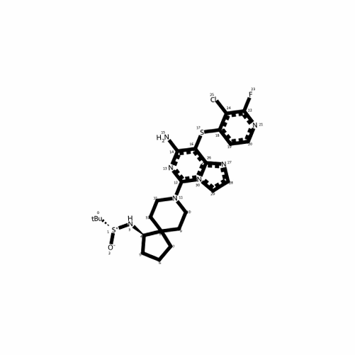 CC(C)(C)[S@@+]([O-])N[C@@H]1CCCC12CCN(c1nc(N)c(Sc3ccnc(F)c3Cl)c3nccn13)CC2